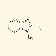 CSc1nc2ccccc2n1N